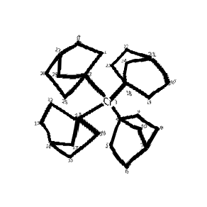 C1C[C]2([Cr]([C]34CCC(CC3)C4)([C]34CCC(CC3)C4)[C]34CCC(CC3)C4)CCC1C2